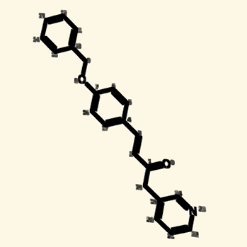 O=C(C=Cc1ccc(OCc2ccccc2)cc1)Cc1cccnc1